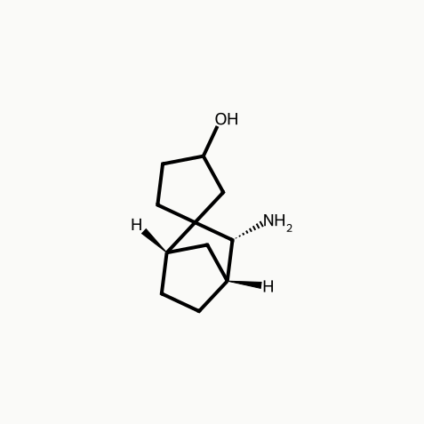 N[C@@H]1[C@@H]2CC[C@@H](C2)C12CCC(O)C2